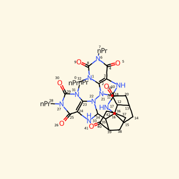 CCCn1c2c(c(=O)n(CCC)c1=O)NC(C1C3CCC1NC(=O)C3)N2N1c2c(c(=O)n(CCC)c(=O)n2CCC)NC1C1C2CCC1C(=O)C2